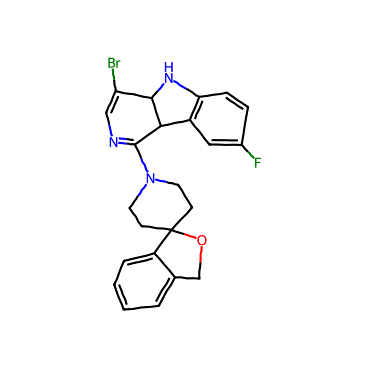 Fc1ccc2c(c1)C1C(N3CCC4(CC3)OCc3ccccc34)=NC=C(Br)C1N2